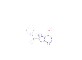 CC1(C)CCCN1C(=O)c1cc2nccc(C=O)c2[nH]1